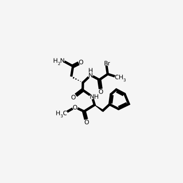 COC(=O)[C@H](Cc1ccccc1)NC(=O)[C@H](CC(N)=O)NC(=O)C(C)Br